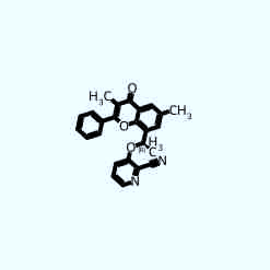 Cc1cc([C@@H](C)Oc2cccnc2C#N)c2oc(-c3ccccc3)c(C)c(=O)c2c1